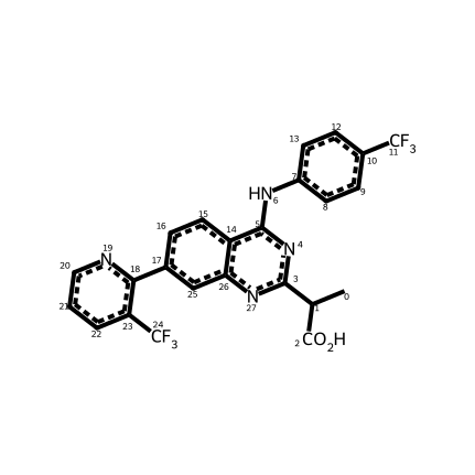 CC(C(=O)O)c1nc(Nc2ccc(C(F)(F)F)cc2)c2ccc(-c3ncccc3C(F)(F)F)cc2n1